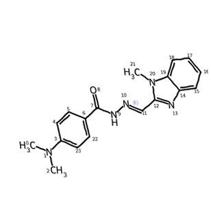 CN(C)c1ccc(C(=O)N/N=C/c2nc3ccccc3n2C)cc1